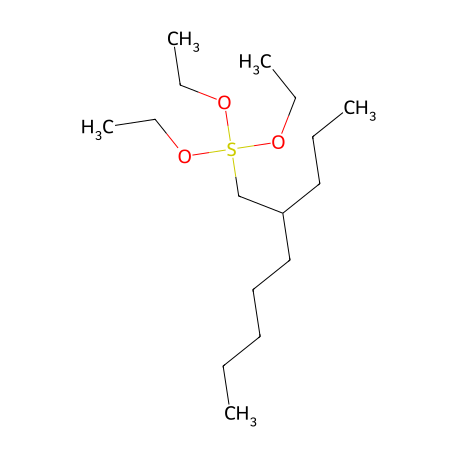 CCCCCC(CCC)CS(OCC)(OCC)OCC